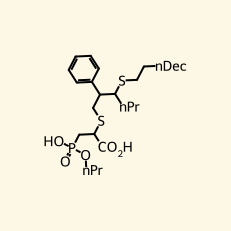 CCCCCCCCCCCCSC(CCC)C(CSC(CP(=O)(O)OCCC)C(=O)O)c1ccccc1